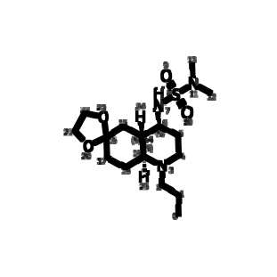 CCCN1CC[C@H](NS(=O)(=O)N(C)C)[C@H]2CC3(CC[C@@H]21)OCCO3